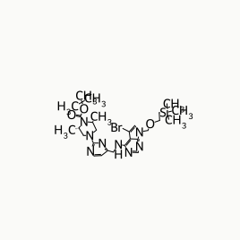 C[C@@H]1CN(c2nccc(CNc3ncnc4c3c(Br)cn4COCC[Si](C)(C)C)n2)C[C@H](C)N1C(=O)OC(C)(C)C